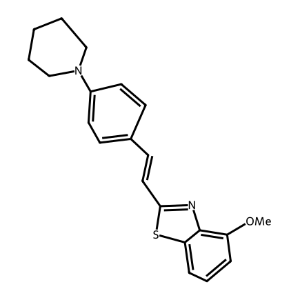 COc1cccc2sc(C=Cc3ccc(N4CCCCC4)cc3)nc12